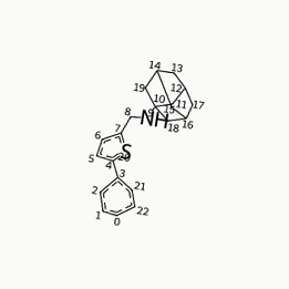 c1ccc(-c2ccc(CNC34CC5CC(CC(C5)C3)C4)s2)cc1